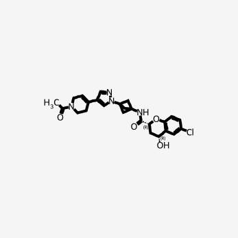 CC(=O)N1CC=C(c2cnn(C34CC(NC(=O)[C@H]5C[C@@H](O)c6cc(Cl)ccc6O5)(C3)C4)c2)CC1